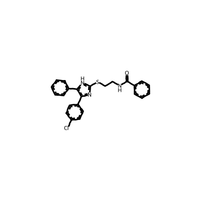 O=C(NCCSc1nc(-c2ccc(Cl)cc2)c(-c2ccccc2)[nH]1)c1ccccc1